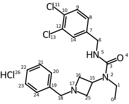 CCN(C(=O)NCc1ccc(Cl)c(Cl)c1)C1CN(Cc2ccccc2)C1.Cl